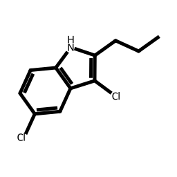 CCCc1[nH]c2ccc(Cl)cc2c1Cl